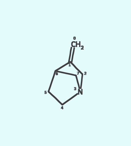 C=C1CN2CCC1C2